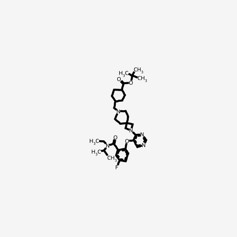 CCN(C(=O)c1cc(F)ccc1Oc1cncnc1N1CC2(CCN(CC3CCC(C(=O)OC(C)(C)C)CC3)CC2)C1)C(C)C